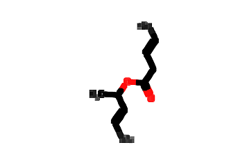 CCCCC=CCC(=O)OC(C)C=CCCCC